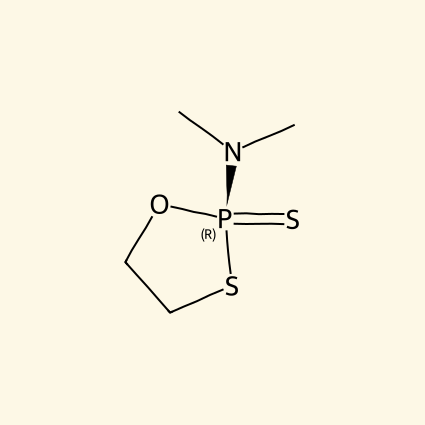 CN(C)[P@]1(=S)OCCS1